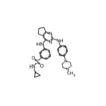 CN1CCN(c2ccc(Nc3nc4c(c(Nc5cccc(S(=O)(=O)NC6CC6)c5)n3)CCC4)cc2)CC1